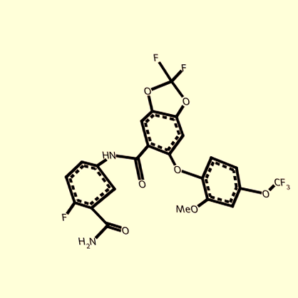 COc1cc(OC(F)(F)F)ccc1Oc1cc2c(cc1C(=O)Nc1ccc(F)c(C(N)=O)c1)OC(F)(F)O2